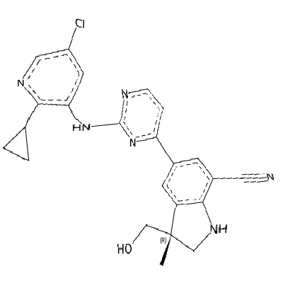 C[C@]1(CO)CNc2c(C#N)cc(-c3ccnc(Nc4cc(Cl)cnc4C4CC4)n3)cc21